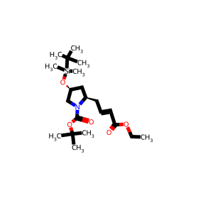 CCOC(=O)/C=C/C[C@@H]1C[C@@H](O[Si](C)(C)C(C)(C)C)CN1C(=O)OC(C)(C)C